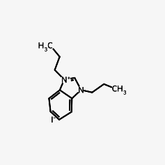 CCCn1c[n+](CCC)c2ccccc21.[I-]